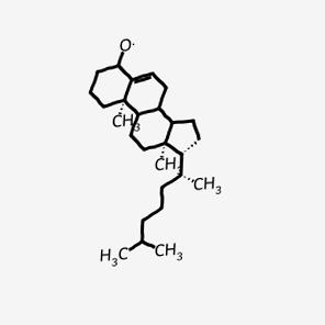 CC(C)CCC[C@@H](C)[C@H]1CCC2C3CC=C4C([O])CCC[C@]4(C)C3CC[C@@]21C